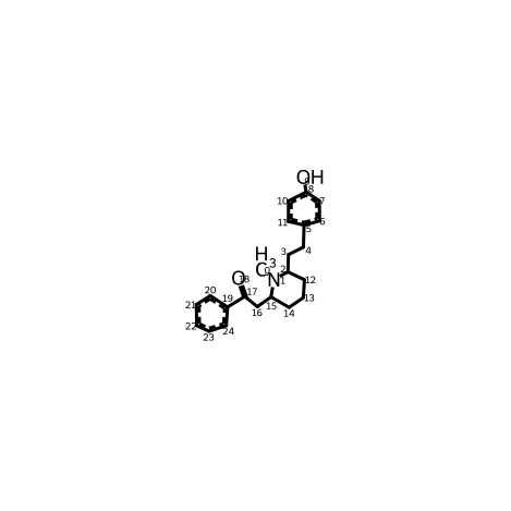 CN1C(CCc2ccc(O)cc2)CCCC1CC(=O)c1ccccc1